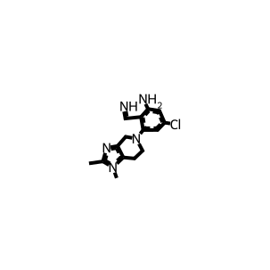 Cc1nc2c(n1C)CCN(c1cc(Cl)cc(N)c1C=N)C2